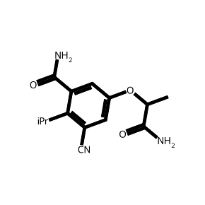 CC(Oc1cc(C#N)c(C(C)C)c(C(N)=O)c1)C(N)=O